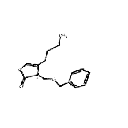 CCCCC1=COC(=O)[C@@H]1COCc1ccccc1